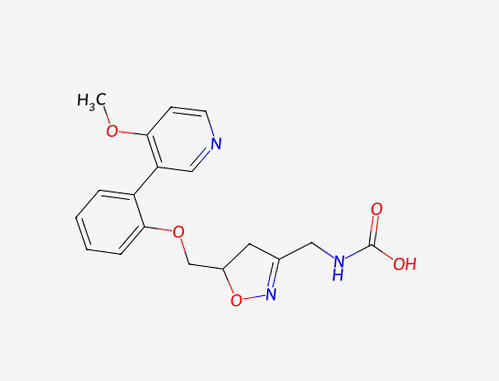 COc1ccncc1-c1ccccc1OCC1CC(CNC(=O)O)=NO1